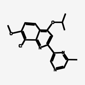 COc1ccc2c(OC(C)C)cc(-c3cncc(C)n3)nc2c1Cl